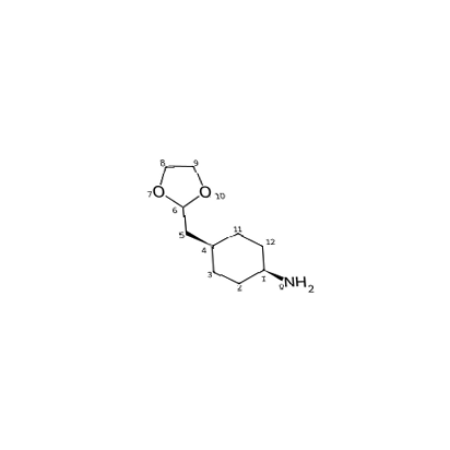 N[C@H]1CC[C@@H](CC2OCCO2)CC1